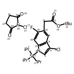 CC(C)[Si](C(C)C)(C(C)C)n1cc(Cl)c2cc(CC(=O)OC(C)(C)C)c(F)cc21.O=C1CCC(=O)N1Cl